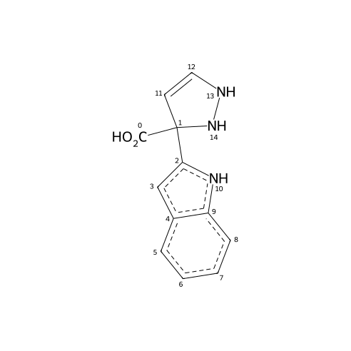 O=C(O)C1(c2cc3ccccc3[nH]2)C=CNN1